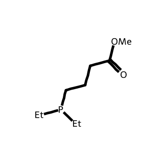 CCP(CC)CCCC(=O)OC